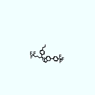 CCCc1ccc(C(CCCC(F)(F)F)N2C=CC3CC(c4ccc(C(F)(F)F)cc4)=CC=C32)cc1